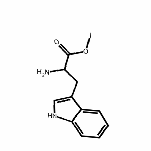 NC(Cc1c[nH]c2ccccc12)C(=O)OI